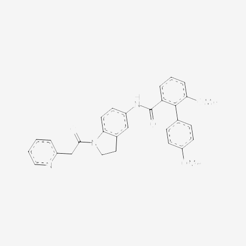 COc1ccc(-c2c(OC)cccc2C(=O)Nc2ccc3c(c2)CCN3C(=O)Cc2ccccn2)cc1